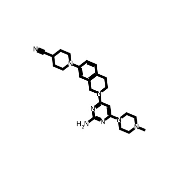 CN1CCN(c2cc(N3CCc4ccc(N5CCC(C#N)CC5)cc4C3)nc(N)n2)CC1